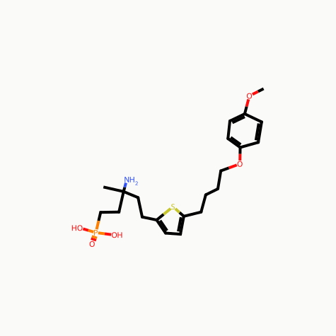 COc1ccc(OCCCCc2ccc(CCC(C)(N)CCP(=O)(O)O)s2)cc1